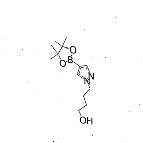 CC1(C)OB(c2cnn(CCCCO)c2)OC1(C)C